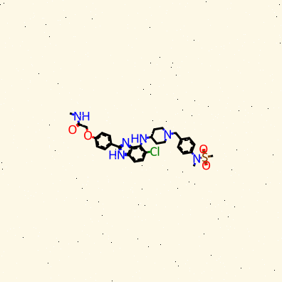 CNC(=O)COc1ccc(-c2nc3c(NC4CCN(Cc5ccc(N(C)S(C)(=O)=O)cc5)CC4)c(Cl)ccc3[nH]2)cc1